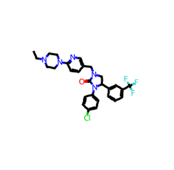 CCN1CCN(c2ccc(CN3CC(c4cccc(C(F)(F)F)c4)N(c4ccc(Cl)cc4)C3=O)cn2)CC1